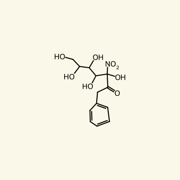 O=C(Cc1ccccc1)C(O)(C(O)C(O)C(O)CO)[N+](=O)[O-]